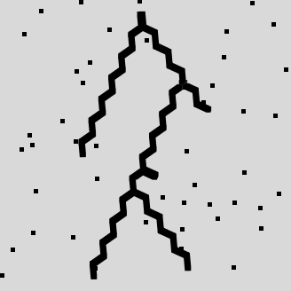 C=C(CCCCCCCCCCCC)CCCCCN(CCC)CCCCCCCC(=C)CC(CCCCCCCC)CCCCCCCC